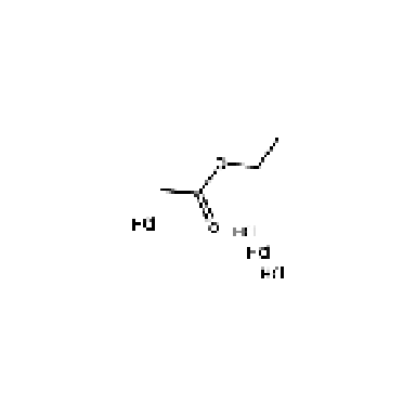 CCOC(C)=O.Cl.Cl.Cl.Cl